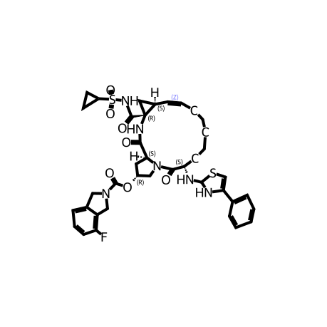 O=C1N[C@]2(C(=O)NS(=O)(=O)C3CC3)C[C@H]2/C=C\CCCCC[C@H](NC2NC(c3ccccc3)=CS2)C(=O)N2C[C@H](OC(=O)N3Cc4cccc(F)c4C3)C[C@@H]12